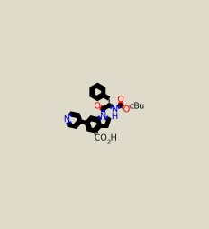 CC(C)(C)OC(=O)N[C@@H](Cc1ccccc1)C(=O)N1CCc2c(C(=O)O)cc(-c3ccncc3)cc21